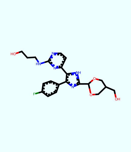 OCCCNc1nccc(-c2[nH]c(C3OCC(CO)CO3)nc2-c2ccc(F)cc2)n1